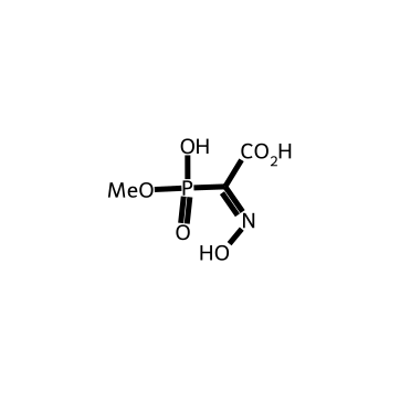 COP(=O)(O)/C(=N\O)C(=O)O